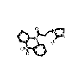 Cc1nccn1CCC(=O)N1c2ccccc2S(=O)(=O)c2ccccc21